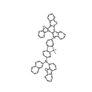 CC1(C)c2cc(N(c3ccc4ccccc4c3)c3cccc4c3oc3ccccc34)ccc2-c2ccc(-n3c4ccccc4c4c5sc6ccccc6c5c5oc6ccccc6c5c43)cc21